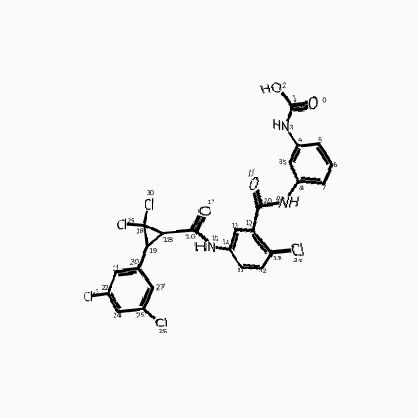 O=C(O)Nc1cccc(NC(=O)c2cc(NC(=O)C3C(c4cc(Cl)cc(Cl)c4)C3(Cl)Cl)ccc2Cl)c1